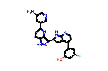 Nc1cncc(-c2ccc3[nH]nc(-c4cc5c(-c6cc(O)cc(F)c6)ccnc5[nH]4)c3n2)c1